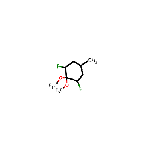 CC1CC(F)C(OC(F)(F)F)(OC(F)(F)F)C(F)C1